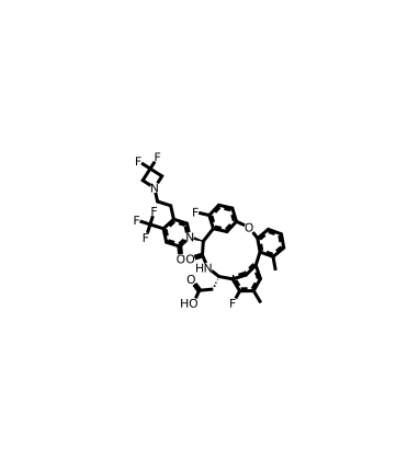 Cc1cc2cc(c1F)[C@H](CC(=O)O)NC(=O)[C@@H](n1cc(CCN3CC(F)(F)C3)c(C(F)(F)F)cc1=O)c1cc(ccc1F)Oc1cccc(C)c1-2